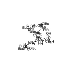 CC(C)COC(=O)CN(CC(=O)OCC(C)C)C(CCCCNC(=O)CCOCC(COCCC(=O)NCCCCC(C(=O)OCC(C)C)N(CC(=O)OCC(C)C)CC(=O)OCC(C)C)(COCCC(=O)NCCCCC(C(=O)OCC(C)C)N(CC(=O)OCC(C)C)CC(=O)OCC(C)C)NC(=S)Nc1ccc(-c2c3ccc(=O)cc-3oc3cc(O)ccc23)c(C(=O)O)c1)C(=O)OCC(C)C